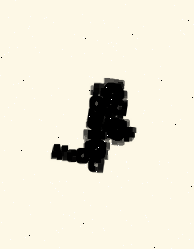 COc1cc(C(C)(C)c2cnc(NC(=O)c3c(F)cccc3Cl)n2-c2ccc(F)cc2)ccc1Cl